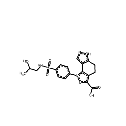 CC(O)CNS(=O)(=O)c1ccc(-n2nc(C(=O)O)c3c2-c2cn[nH]c2CC3)cc1